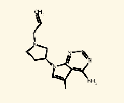 C=CCN1CC[C@H](n2cc(I)c3c(N)ncnc32)C1